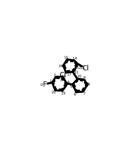 Fc1ccc(-c2ccc[c]c2-c2c(Cl)cccc2Cl)cc1